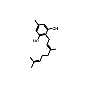 CC(C)=CCC/C(C)=C/Cc1c(O)cc(C)cc1O